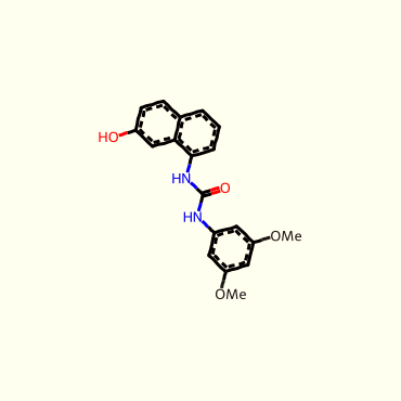 COc1cc(NC(=O)Nc2cccc3ccc(O)cc23)cc(OC)c1